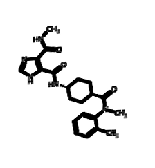 CNC(=O)c1nc[nH]c1C(=O)N[C@H]1CC[C@H](C(=O)N(C)c2ccccc2C)CC1